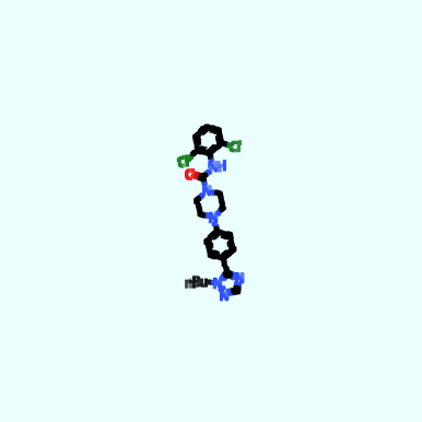 CCCCn1ncnc1-c1ccc(N2CCN(C(=O)Nc3c(Cl)cccc3Cl)CC2)cc1